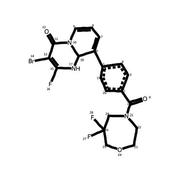 O=C(c1ccc(C2=CC=CN3C(=O)C(Br)=C(F)NC23)cc1)N1CCOCC(F)(F)C1